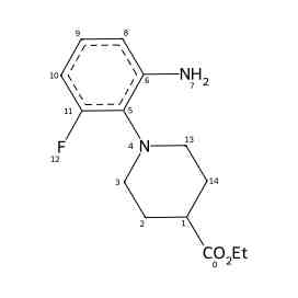 CCOC(=O)C1CCN(c2c(N)cccc2F)CC1